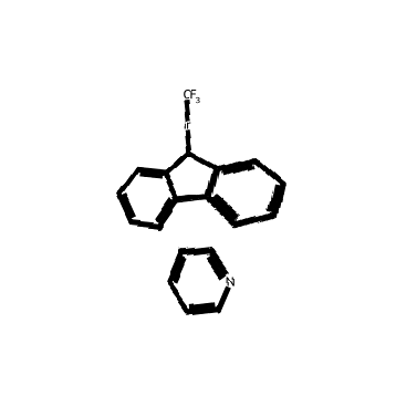 F[C](F)(F)[Ir][CH]1c2ccccc2-c2ccccc21.c1ccncc1